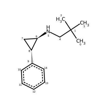 CC(C)(C)CN[C@@H]1C[C@H]1c1ccccc1